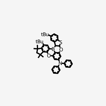 CC(C)(C)c1ccc2c(c1)C1B3c4cc(C(C)(C)C)c5c(c4Oc4cc(N(c6ccccc6)c6ccccc6)cc(c43)OC1S2)C(C)(C)CC5(C)C